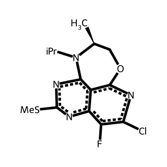 CSc1nc2c3c(nc(Cl)c(F)c3n1)OC[C@H](C)N2C(C)C